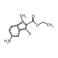 Bc1ccc2c(c1)c(F)c(C(=O)OCC)n2C